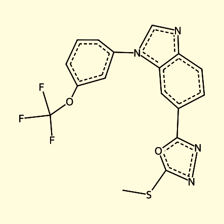 CSc1nnc(-c2ccc3ncn(-c4cccc(OC(F)(F)F)c4)c3c2)o1